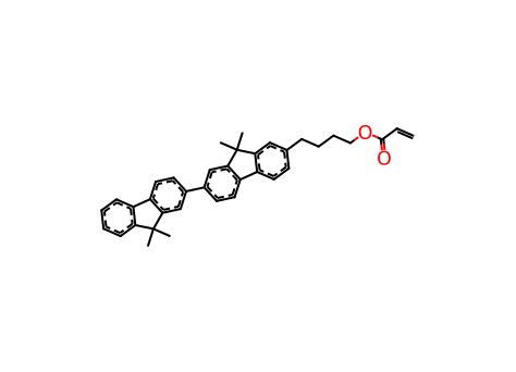 C=CC(=O)OCCCCc1ccc2c(c1)C(C)(C)c1cc(-c3ccc4c(c3)C(C)(C)c3ccccc3-4)ccc1-2